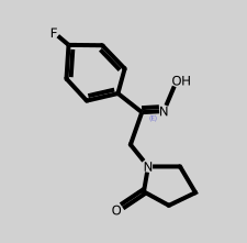 O=C1CCCN1C/C(=N/O)c1ccc(F)cc1